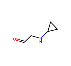 O=[C]CNC1CC1